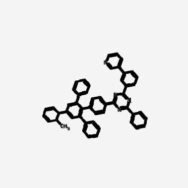 CC1C=CC=CC1c1cc(-c2ccccc2)c(-c2ccc(-c3nc(-c4ccccc4)nc(-c4cccc(-c5cccnc5)c4)n3)cc2)c(-c2ccccc2)c1